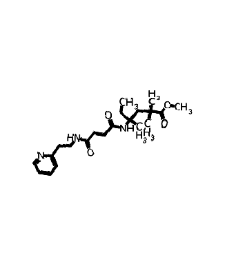 CCC(C)(CC(C)(C)C(=O)OC)NC(=O)CCC(=O)NCCc1ccccn1